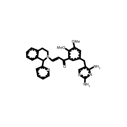 COc1cc(Cc2cnc(N)nc2N)cc(C(=O)/C=C/N2CCc3ccccc3C2c2ccccn2)c1OC